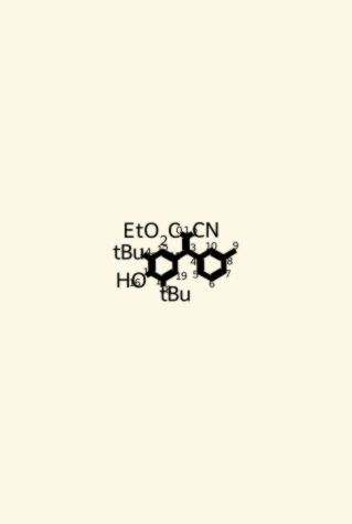 CCOC(=O)C(C#N)=C(c1cccc(C)c1)c1cc(C(C)(C)C)c(O)c(C(C)(C)C)c1